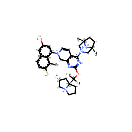 [2H]C([2H])(Oc1nc2c(c(N3C[C@H]4CC[C@@H](C3)N4)n1)C=CN(c1cc(O)cc3ccc(F)c(CC)c13)C2)[C@@]12CCCN1C[C@H](F)C2